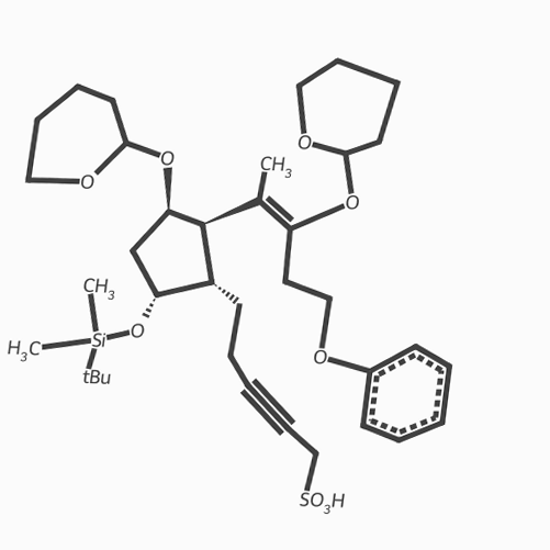 C/C(=C(/CCOc1ccccc1)OC1CCCCO1)[C@H]1[C@H](CCC#CCS(=O)(=O)O)[C@H](O[Si](C)(C)C(C)(C)C)C[C@H]1OC1CCCCO1